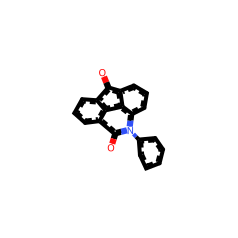 O=c1c2cccc3c(=O)n(-c4ccccc4)c4cccc1c4c23